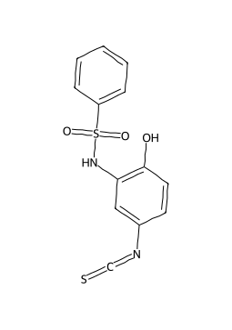 O=S(=O)(Nc1cc(N=C=S)ccc1O)c1ccccc1